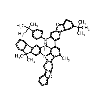 Cc1cc(-c2cc3c(cc2Nc2ccc(C(C)(C)C)cc2)oc2ccc(C(C)(C)C)cc23)c2c3c1c1cc4oc5ccccc5c4cc1n3-c1cc3c(cc1B2)-c1ccccc1C3(C)C